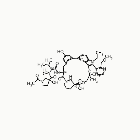 CCn1c(-c2cccnc2COC)c2c3cc(ccc31)-c1cc(O)cc(c1)C[C@H](NC(=O)[C@H](C(C)C)N(C)C(=O)C1(O)CCN(C(C)=O)C1)C(=O)N1CCC[C@@](C(=O)O)(COCC(C)(C)C2)N1